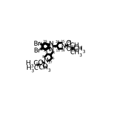 CC(C)(C)OC(=O)N1CCC(Cn2c(C3CCN(C(=O)OC(C)(C)C)CC3)nc3cc(Br)c(Br)cc32)CC1